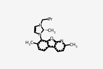 Cc1ccc2c(n1)oc1c(N3C=CN(CC(C)C)[C@@H]3C)c(C)ccc12